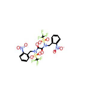 O=C(C(=O)N(Cc1ccccc1[N+](=O)[O-])S(=O)(=O)C(F)(F)F)N(Cc1ccccc1[N+](=O)[O-])S(=O)(=O)C(F)(F)F